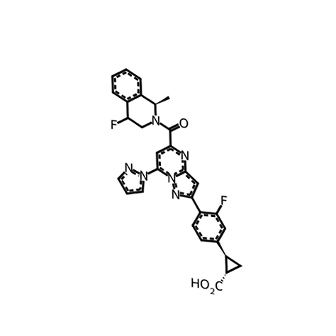 C[C@@H]1c2ccccc2C(F)CN1C(=O)c1cc(-n2cccn2)n2nc(-c3ccc([C@H]4C[C@@H]4C(=O)O)cc3F)cc2n1